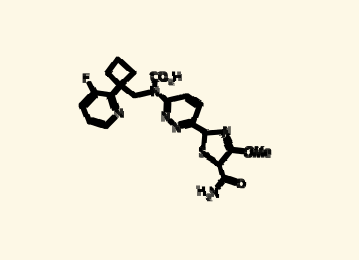 COC1=NC(c2ccc(N(CC3(c4ncccc4F)CCC3)C(=O)O)nn2)SC1C(N)=O